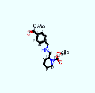 COC(=O)c1ccc(CNCC2CCCCN2C(=O)OC(C)(C)C)cc1